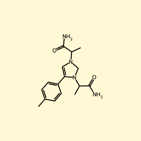 Cc1ccc(C2=CN(C(C)C(N)=O)CN2C(C)C(N)=O)cc1